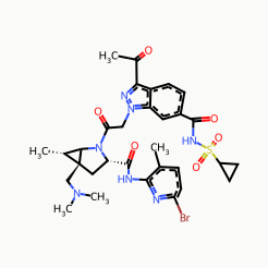 CC(=O)c1nn(CC(=O)N2C3[C@@H](C)[C@@]3(CN(C)C)C[C@H]2C(=O)Nc2nc(Br)ccc2C)c2cc(C(=O)NS(=O)(=O)C3CC3)ccc12